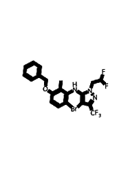 Cc1ccc(OCc2ccccc2)c(C)c1Nc1c(Br)c(C(F)(F)F)nn1CC(F)F